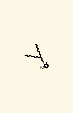 CCCCCCCCCC(CCCCCCCC)CCCSc1c(C)cccc1O